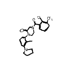 Cc1c(N2CCCC2)cccc1N1CCN(C(=O)c2cccc(C(F)(F)F)c2Cl)CC1=O